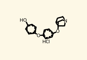 Cl.Oc1ccc(Oc2ccc(OC3CN4CCC3CC4)cc2)cc1